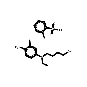 CCN(CCCCO)c1ccc(N)c(C)c1.Cc1ccccc1S(=O)(=O)O